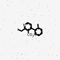 Cc1ccccc1-c1ccnc(CI)c1C(=O)O